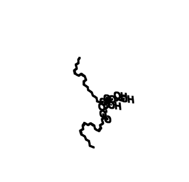 CCCCC/C=C\C/C=C\C/C=C\C/C=C\CCCC(=O)OC[C@H](COP(=O)(O)OC[C@@H](O)CO)OC(=O)CCCCCC/C=C\C/C=C\C/C=C\CCCCC